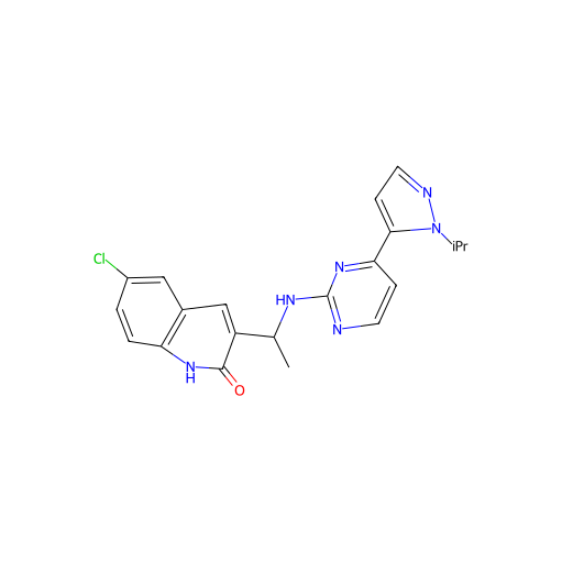 CC(Nc1nccc(-c2ccnn2C(C)C)n1)c1cc2cc(Cl)ccc2[nH]c1=O